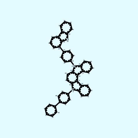 c1ccc(-c2ccc(-n3c4ccccc4c4c5c6ccccc6n(-c6ccc(-c7cccc8c7oc7ccccc78)cc6)c5ccc43)cc2)cc1